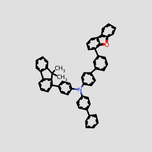 CC1(C)c2ccccc2-c2cccc(-c3ccc(N(c4ccc(-c5ccccc5)cc4)c4ccc(-c5cccc(-c6cccc7c6oc6ccccc67)c5)cc4)cc3)c21